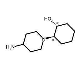 NC1CCN([C@@H]2CCCC[C@H]2O)CC1